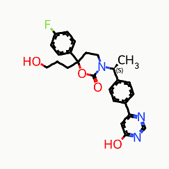 C[C@@H](c1ccc(-c2cc(O)ncn2)cc1)N1CCC(CCCO)(c2ccc(F)cc2)OC1=O